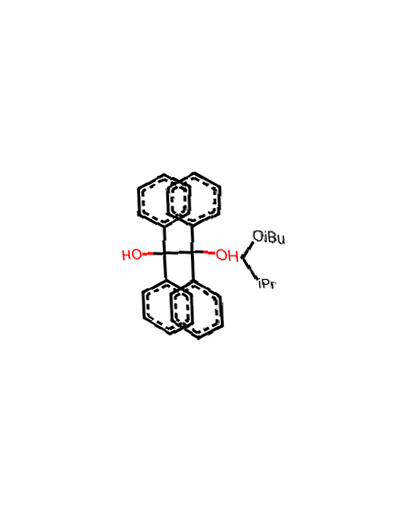 CC(C)COCC(C)C.OC(c1ccccc1)(c1ccccc1)C(O)(c1ccccc1)c1ccccc1